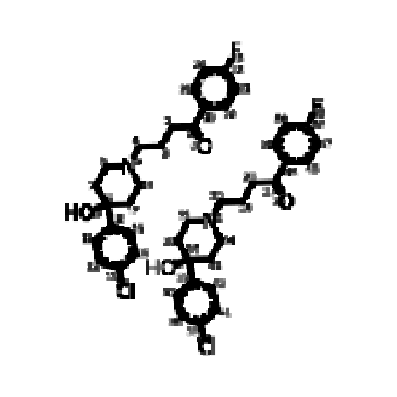 O=C(CCCN1CCC(O)(c2ccc(Cl)cc2)CC1)c1ccc(F)cc1.O=C(CCCN1CCC(O)(c2ccc(Cl)cc2)CC1)c1ccc(F)cc1